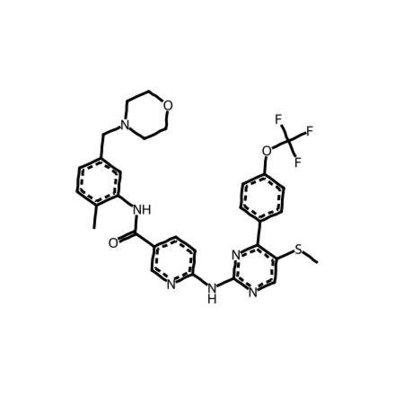 CSc1cnc(Nc2ccc(C(=O)Nc3cc(CN4CCOCC4)ccc3C)cn2)nc1-c1ccc(OC(F)(F)F)cc1